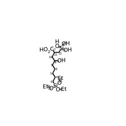 CCO[Si](CCCCCC(O)CC(C[Si](O)(O)O)C(=O)O)(OCC)OCC